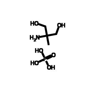 CC(N)(CO)CO.O=P(O)(O)O